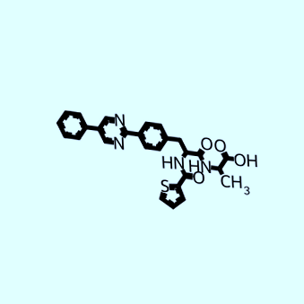 CC(NC(=O)C(Cc1ccc(-c2ncc(-c3ccccc3)cn2)cc1)NC(=O)c1cccs1)C(=O)O